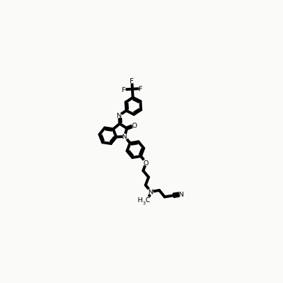 CN(CCC#N)CCCOc1ccc(N2C(=O)C(=Nc3cccc(C(F)(F)F)c3)c3ccccc32)cc1